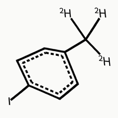 [2H]C([2H])([2H])c1ccc(I)cc1